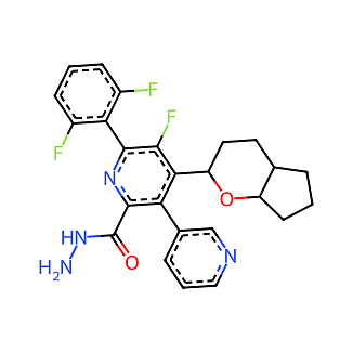 NNC(=O)c1nc(-c2c(F)cccc2F)c(F)c(C2CCC3CCCC3O2)c1-c1cccnc1